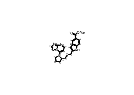 COC(=O)c1ccc2[nH]c(COC[C@H]3CCCN3c3ccnc4ncnn34)cc2c1